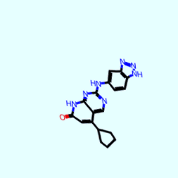 O=c1cc(C2CCCC2)c2cnc(Nc3ccc4[nH]nnc4c3)nc2[nH]1